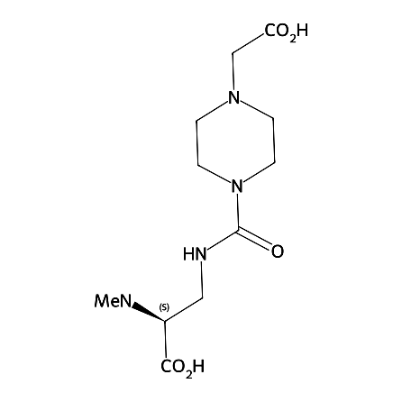 CN[C@@H](CNC(=O)N1CCN(CC(=O)O)CC1)C(=O)O